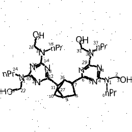 CCCN(CO)c1nc(C2CC3CC(c4nc(N(CO)CCC)nc(N(CO)CCC)n4)C2C3)nc(N(CO)CCC)n1